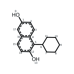 Oc1ccc2c(C3CCCCC3)c(O)ccc2c1